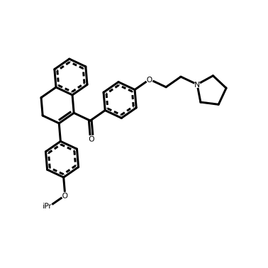 CC(C)Oc1ccc(C2=C(C(=O)c3ccc(OCCN4CCCC4)cc3)c3ccccc3CC2)cc1